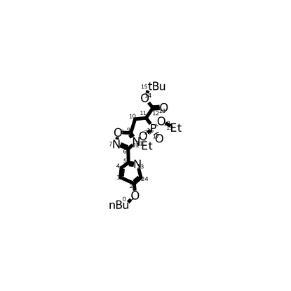 CCCCOc1ccc(-c2noc(CC(C(=O)OC(C)(C)C)P(=O)(OCC)OCC)n2)nc1